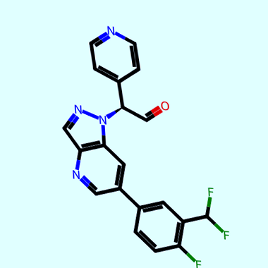 O=C[C@H](c1ccncc1)n1ncc2ncc(-c3ccc(F)c(C(F)F)c3)cc21